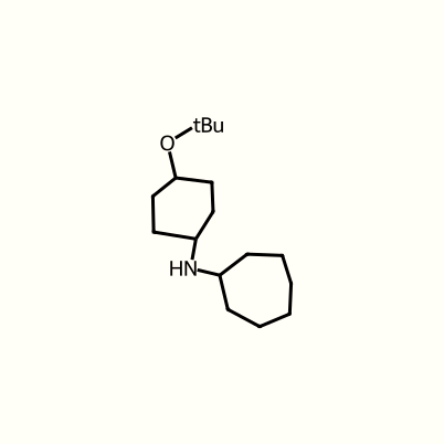 CC(C)(C)OC1CCC(NC2CCCCCC2)CC1